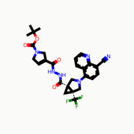 CC(C)(C)OC(=O)N1CC=C(C(=O)NNC(=O)[C@]23CN(c4ccc(C#N)c5ncccc45)C[C@@]2(C(F)(F)F)C3)C1